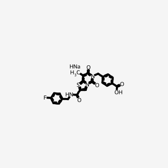 Cc1c(=O)n(Cc2ccc(C(=O)O)cc2)c(=O)n2cc(C(=O)NCc3ccc(F)cc3)sc12.[NaH]